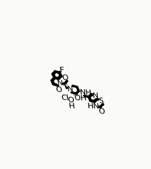 O=C1CSc2ncc(CN[C@H]3CCN(C[C@@H]4COc5c(F)ccc6ccc(=O)n4c56)C[C@H]3O)cc2N1.OCl